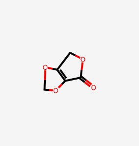 O=C1OCC2=C1OCO2